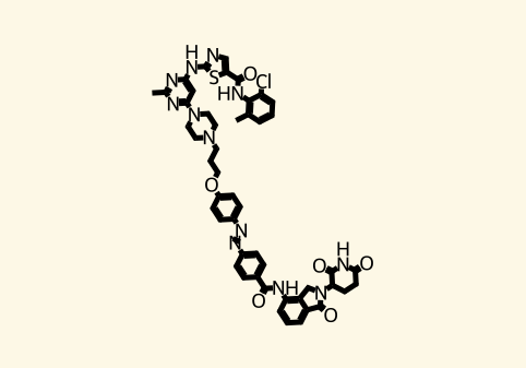 Cc1nc(Nc2ncc(C(=O)Nc3c(C)cccc3Cl)s2)cc(N2CCN(CCCOc3ccc(N=Nc4ccc(C(=O)Nc5cccc6c5CN(C5CCC(=O)NC5=O)C6=O)cc4)cc3)CC2)n1